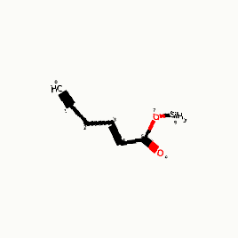 C#CCC=CC(=O)O[SiH3]